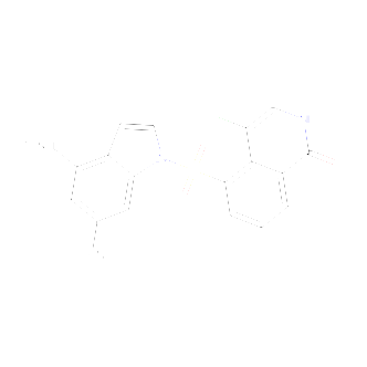 CC(=O)Nc1cc(C#N)cc2c1ccn2S(=O)(=O)c1cccc2c(=O)[nH]cc(Cl)c12